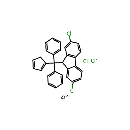 Clc1ccc2c(c1)C(C(C1=CC=CC1)(c1ccccc1)c1ccccc1)c1cc(Cl)ccc1-2.[Cl-].[Cl-].[Zr+2]